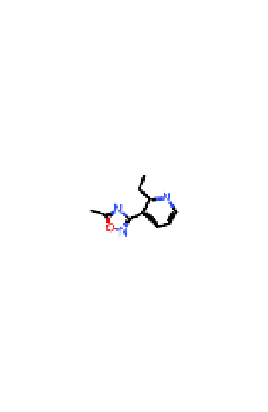 CCc1ncccc1-c1noc(C)n1